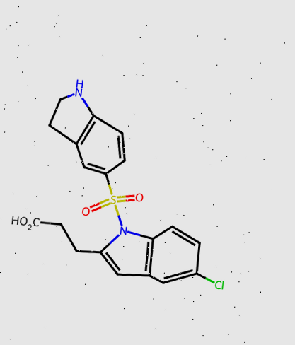 O=C(O)CCc1cc2cc(Cl)ccc2n1S(=O)(=O)c1ccc2c(c1)CCN2